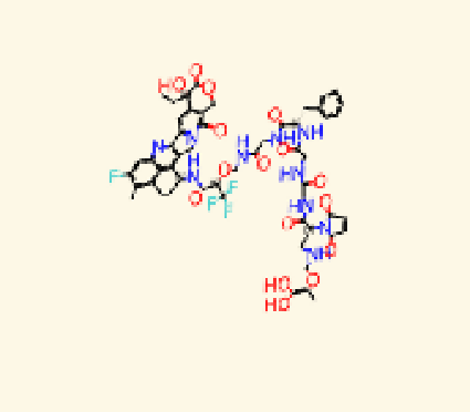 CC[C@@]1(O)C(=O)OCc2c1cc1n(c2=O)Cc2c-1nc1cc(F)c(C)c3c1c2[C@@H](NC(=O)[C@H](OCNC(=O)CNC(=O)[C@H](Cc1ccccc1)NC(=O)CNC(=O)CNC(=O)[C@H](CNCOC(C)=C(O)O)N1C(=O)C=CC1=O)C(F)(F)F)CC3